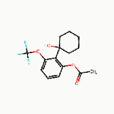 CC(=O)Oc1cccc(OC(F)(F)F)c1C1(O)CCCCC1